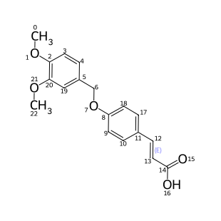 COc1ccc(COc2ccc(/C=C/C(=O)O)cc2)cc1OC